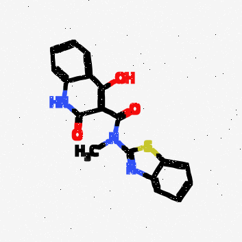 CN(C(=O)c1c(O)c2ccccc2[nH]c1=O)c1nc2ccccc2s1